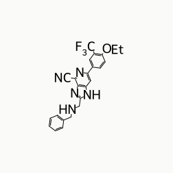 CCOc1ccc(-c2cc3[nH]c(CNCc4ccccc4)nc3c(C#N)n2)cc1C(F)(F)F